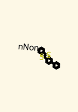 CCCCCCCCCc1ccc2c(c1)sc1c3ccc(-c4ccccc4)cc3sc21